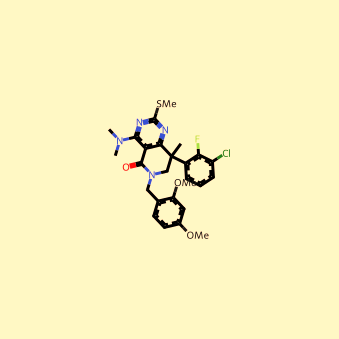 COc1ccc(CN2CC(C)(c3cccc(Cl)c3F)c3nc(SC)nc(N(C)C)c3C2=O)c(OC)c1